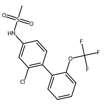 CS(=O)(=O)Nc1ccc(-c2ccccc2OC(F)(F)F)c(Cl)c1